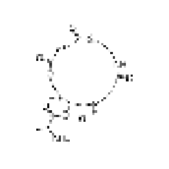 C[C@H](N)C(=O)O[C@H]1C(=O)NCCC(=O)NCCSC(=O)/C=C/C(=O)OCC1(C)C